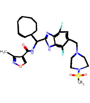 Cc1nocc1C(=O)NC(c1nc2c(F)cc(CN3CCN(S(C)(=O)=O)CC3)c(F)c2[nH]1)C1CCCCCCC1